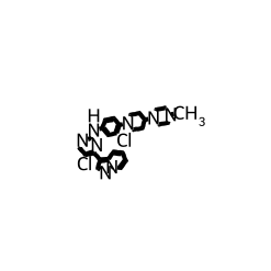 CN1CCN(C2CCN(c3ccc(Nc4ncc(Cl)c(-c5cnn6ccccc56)n4)cc3Cl)CC2)CC1